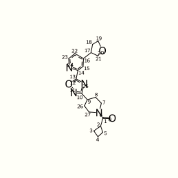 O=C(C1CCC1)N1CCC(c2noc(-c3cc(C4CCOC4)ccn3)n2)CC1